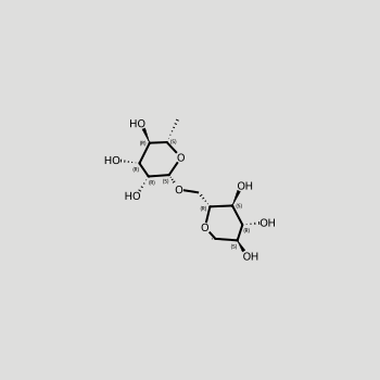 C[C@@H]1O[C@H](OC[C@H]2O[CH][C@H](O)[C@@H](O)[C@@H]2O)[C@H](O)[C@H](O)[C@H]1O